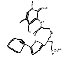 Cc1cn(C)c(=O)c(NC(=O)N[C@@H](CC(=O)O)c2ccc(-c3ccccc3)s2)c1O